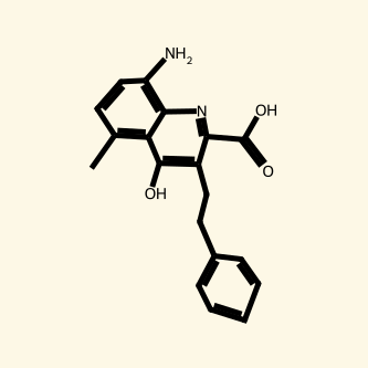 Cc1ccc(N)c2nc(C(=O)O)c(CCc3ccccc3)c(O)c12